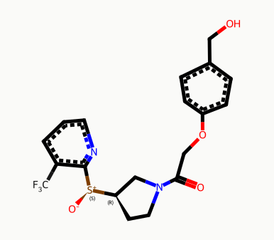 O=C(COc1ccc(CO)cc1)N1CC[C@@H]([S@@+]([O-])c2ncccc2C(F)(F)F)C1